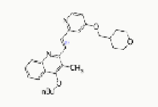 CCCCOc1c(C)c(/C=C/c2cc(OCC3CCOCC3)ccn2)nc2ccccc12